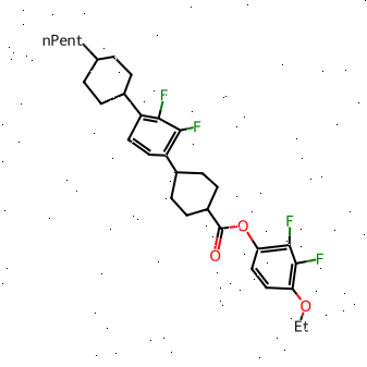 CCCCCC1CCC(c2ccc(C3CCC(C(=O)Oc4ccc(OCC)c(F)c4F)CC3)c(F)c2F)CC1